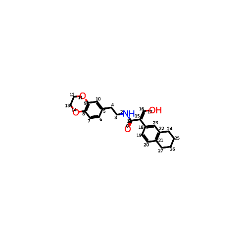 O=C(NCCc1ccc2c(c1)OCCO2)C(=CO)c1ccc2c(c1)CCCC2